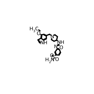 CCOc1cc(CN2CCC(Nc3nc4cc(S(N)(=O)=O)ccc4o3)CC2)cc2[nH]ccc12